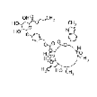 C=CCOC(=O)[C@H]1O[C@@H](Oc2ccc(COC(=O)O[C@H]3CC(=O)O[C@H](c4ccc5sc(C)nc5c4)C[C@@H]4O[C@]4(C)CCC[C@H](C)[C@H](O)[C@@H](CC=C)C(=O)C3(C)C)cc2)[C@H](O)[C@@H](O)[C@@H]1O